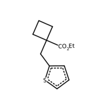 CCOC(=O)C1(Cc2cccs2)CCC1